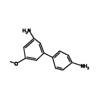 COc1cc(N)cc(-c2ccc(N)cc2)c1